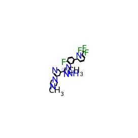 CN1CCN(C2=CN=CC(/C(=C/N(C)c3cc(-c4cccc(C(F)(F)F)n4)ccc3F)N=N)C2)CC1